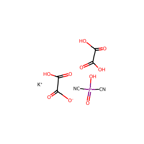 N#CP(=O)(O)C#N.O=C(O)C(=O)O.O=C([O-])C(=O)O.[K+]